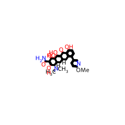 COc1ccc(-c2ccc(O)c3c2C[C@H]2C[C@H]4[C@H](N(C)C)C(O)=C(C(N)=O)C(=O)[C@@]4(O)C(O)=C2C3=O)cn1